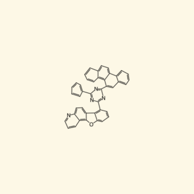 c1ccc(-c2nc(-c3cccc4oc5c6cccnc6ccc5c34)nc(-c3cc4ccccc4c4ccc5ccccc5c34)n2)cc1